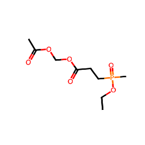 CCOP(C)(=O)CCC(=O)OCOC(C)=O